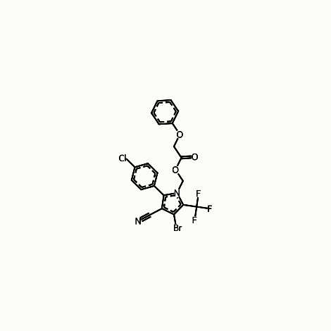 N#Cc1c(Br)c(C(F)(F)F)n(COC(=O)COc2ccccc2)c1-c1ccc(Cl)cc1